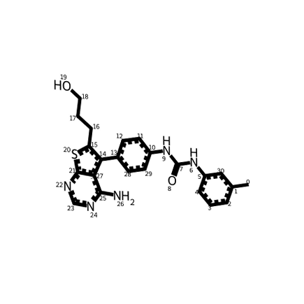 Cc1cccc(NC(=O)Nc2ccc(-c3c(CCCO)sc4ncnc(N)c34)cc2)c1